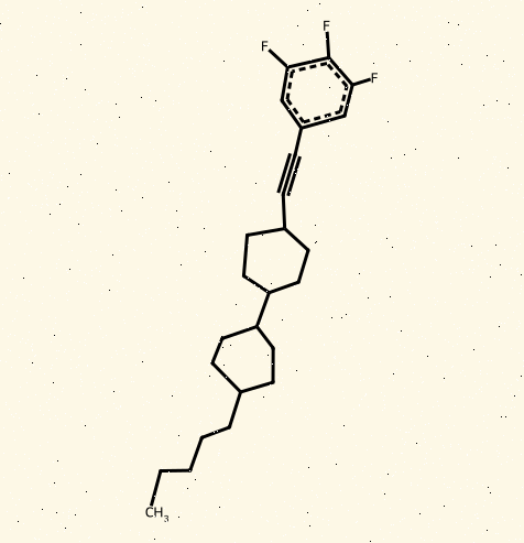 CCCCCC1CCC(C2CCC(C#Cc3cc(F)c(F)c(F)c3)CC2)CC1